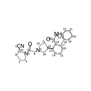 N#C[C@@H]1CCCN1C(=O)CN1CC[C@@H](c2cccc(-c3ccccc3)c2C(N)=O)C1